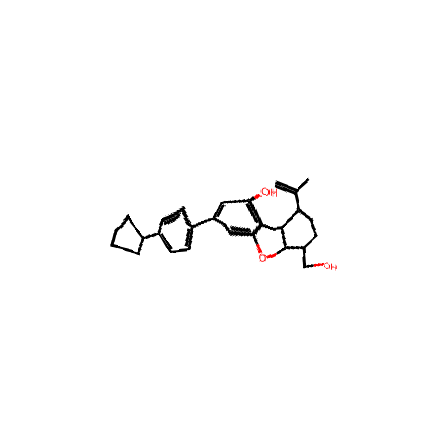 C=C(C)C1CCC(CO)C2Oc3cc(-c4ccc(C5CCCC5)cc4)cc(O)c3C12